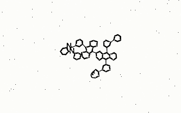 c1ccc(-c2cccc(-c3c4ccccc4c(-c4cccc(-c5ccccc5)c4)c4cc(-c5c6ccccc6c(-c6cccc(-c7nc8ccccc8n7-c7ccccc7)c6)c6ccccc56)ccc34)c2)cc1